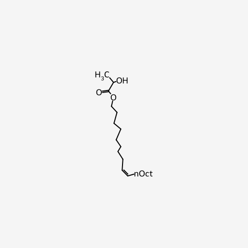 CCCCCCCC/C=C\CCCCCCCCOC(=O)C(C)O